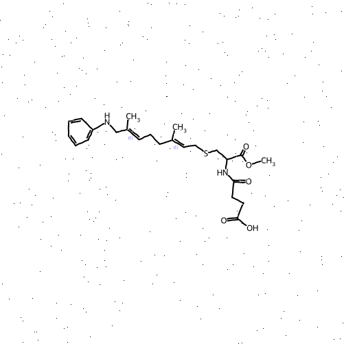 COC(=O)C(CSC/C=C(\C)CC/C=C(\C)CNc1ccccc1)NC(=O)CCC(=O)O